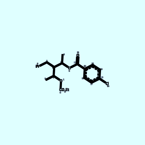 CCOC(=O)OC(C)C(CC(C)C)C(C)OC(=O)c1ccc(Cl)cc1